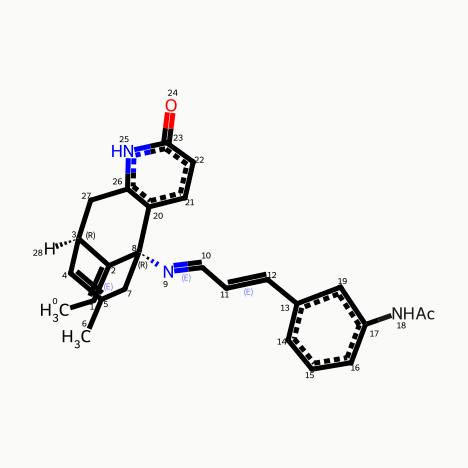 C/C=C1\[C@H]2C=C(C)C[C@]1(/N=C/C=C/c1cccc(NC(C)=O)c1)c1ccc(=O)[nH]c1C2